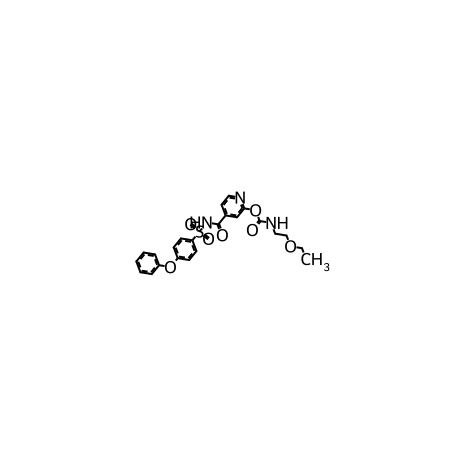 CCOCCNC(=O)Oc1cc(C(=O)NS(=O)(=O)c2ccc(Oc3ccccc3)cc2)ccn1